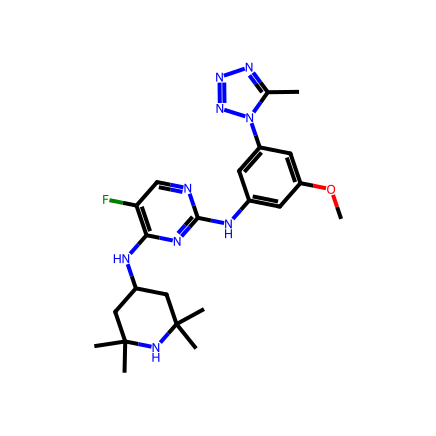 COc1cc(Nc2ncc(F)c(NC3CC(C)(C)NC(C)(C)C3)n2)cc(-n2nnnc2C)c1